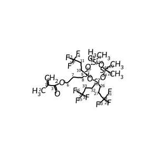 C=C(C)C(=O)OCCC[Si]1(CCC(F)(F)F)O[Si](C)(C)O[Si](C)(C)O[Si](CCC(F)(F)F)(CCC(F)(F)F)O1